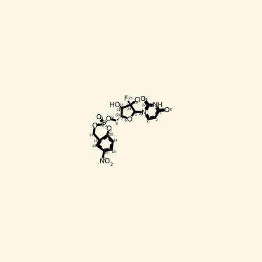 O=c1ccn(C2O[C@H](COP3(=O)OCc4cc([N+](=O)[O-])ccc4O3)[C@@H](O)[C@]2(F)Cl)c(=O)[nH]1